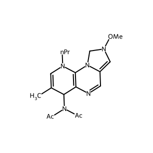 CCCN1C=C(C)C(N(C(C)=O)C(C)=O)C2=C1N1CN(OC)C=C1C=N2